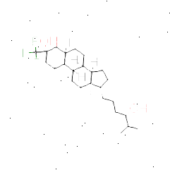 CC(C)[C@@H](O)CCC[C@@H]1CC[C@H]2[C@@H]3CC[C@H]4C[C@](O)(C(F)(F)F)CC[C@]4(C)[C@H]3CC[C@]12C